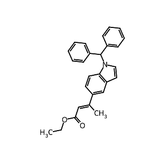 CCOC(=O)/C=C(\C)c1ccc2c(ccn2C(c2ccccc2)c2ccccc2)c1